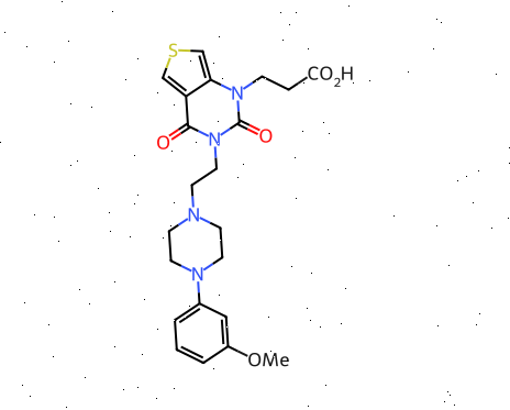 COc1cccc(N2CCN(CCn3c(=O)c4cscc4n(CCC(=O)O)c3=O)CC2)c1